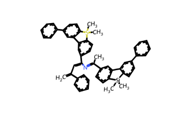 C=C(/C=C(\N=C(/C)c1ccc2c(c1)-c1cc(-c3ccccc3)ccc1[Si]2(C)C)c1ccc2c(c1)-c1cc(-c3ccccc3)ccc1S2(C)C)c1ccccc1